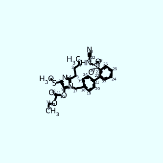 CCCCc1nc(SC)c(OC(=O)OCC)n1Cc1ccc(-c2ccccc2S(=O)(=O)NC#N)cc1